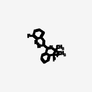 CC1(C)N=C(c2cc3cccc(F)c3nn2)c2ccccc2C1(F)F